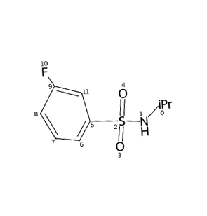 CC(C)NS(=O)(=O)c1cccc(F)c1